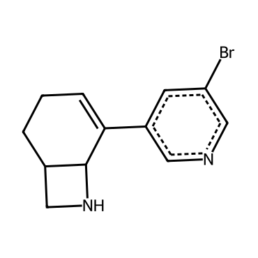 Brc1cncc(C2=CCCC3CNC23)c1